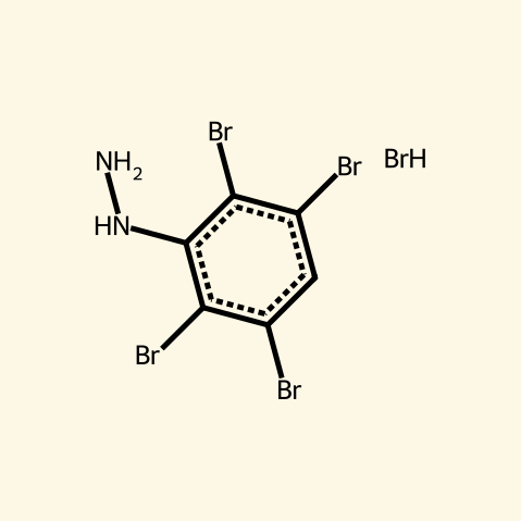 Br.NNc1c(Br)c(Br)cc(Br)c1Br